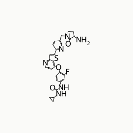 NC1CCN(Cc2ccc(-c3cc4nccc(Oc5ccc(NC(=O)NC6CC6)cc5F)c4s3)nc2)C1=O